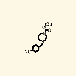 CC(C)(C)OC(=O)N1CCCN(Cc2ccc(C#N)cc2)CC1